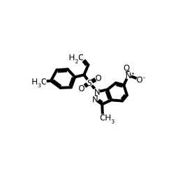 C=CC(c1ccc(C)cc1)S(=O)(=O)n1nc(C)c2ccc([N+](=O)[O-])cc21